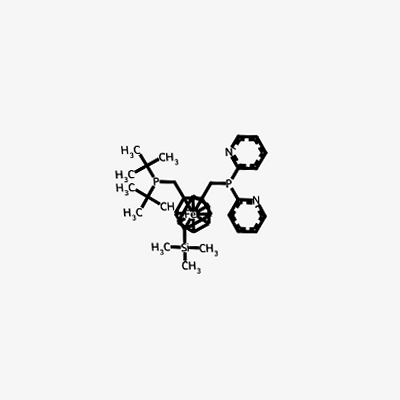 CC(C)(C)P(C[C]12[CH]3[C]4([Si](C)(C)C)[CH]5[C]1(CP(c1ccccn1)c1ccccn1)[Fe]53241678[CH]2[CH]1[CH]6[CH]7[CH]28)C(C)(C)C